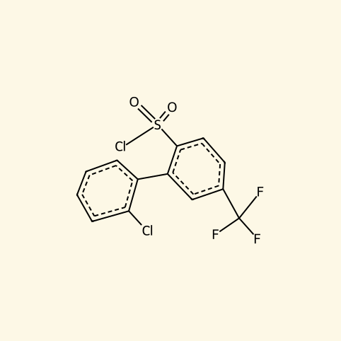 O=S(=O)(Cl)c1ccc(C(F)(F)F)cc1-c1ccccc1Cl